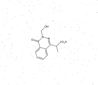 CC(C(=O)O)c1nn(CO)c(=O)c2ccccc12